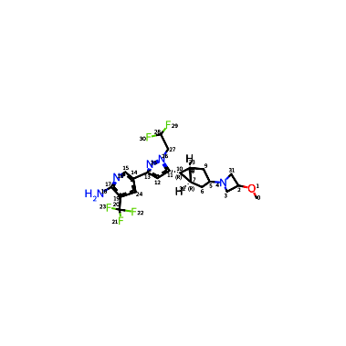 COC1CN(C2C[C@@H]3[C@H](C2)[C@H]3c2cc(-c3cnc(N)c(C(F)(F)F)c3)nn2CC(F)F)C1